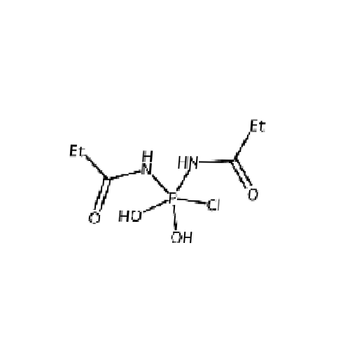 CCC(=O)NP(O)(O)(Cl)NC(=O)CC